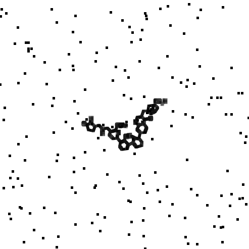 COc1nc(-c2cccc(-c3cccc(-c4ccn5c(=O)c(CN6CC7(C(=O)O)CCC6CC7)cnc5c4)c3Cl)c2Cl)ccc1CNC[C@H]1CCC(=O)N1